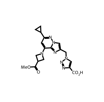 COC(=O)C1CN(c2cc(C3CC3)nn3cc(Cn4cc(C(=O)O)nn4)nc23)C1